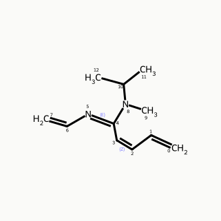 C=C/C=C\C(=N/C=C)N(C)C(C)C